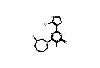 CC1=C(c2nc(N3CCNCC(F)C3)c(Cl)c(=O)[nH]2)SCN1